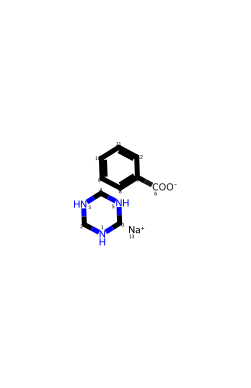 C1NCNCN1.O=C([O-])c1ccccc1.[Na+]